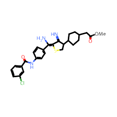 COC(=O)CC1CCC(C2CS/C(=C(/N)c3ccc(NC(=O)c4cccc(Cl)c4)cc3)C2=N)CC1